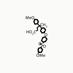 COc1ccc(C(C)(CCC(=O)O)c2ccc(Oc3ccc(S(=O)(=O)c4ccc(OC)cc4)cc3)cc2)cc1